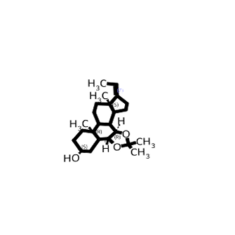 C/C=C1/CCC2C3C(CC[C@]12C)[C@@]1(C)CC[C@H](O)CC1[C@H]1OC(C)(C)O[C@H]31